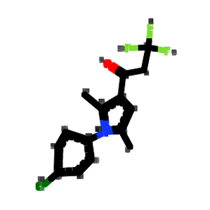 Cc1cc(C(=O)CC(F)(F)F)c(C)n1-c1ccc(Cl)cc1